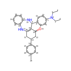 CCN(CC)c1ccc(C2Nc3ccccc3NC3=C2C(=O)CC(c2ccc(C)cc2)C3)cc1